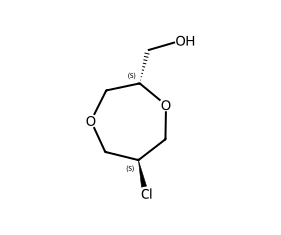 OC[C@H]1COC[C@H](Cl)CO1